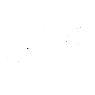 COc1ccc2c3c1O[C@@H]1C[C@@](O)(CC=C1OC(=O)N(C)CCNC(=O)[C@H](CCCNC(=N)N)NC(=O)CC(=O)O)[C@@H](C2)N(C)CCC3